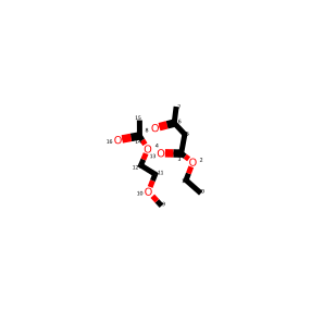 CCOC(=O)CC(C)=O.COCCOC(C)=O